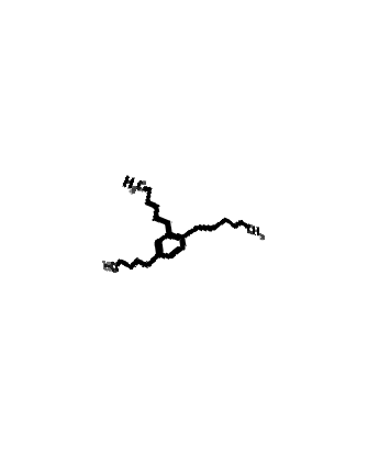 CCCCCCc1ccc(CCCCO)cc1CCCCCC